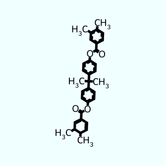 Cc1ccc(C(=O)Oc2ccc(C(C)(C)c3ccc(OC(=O)C4=CC(C)C(C)C=C4)cc3)cc2)cc1C